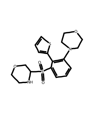 O=S(=O)(c1cccc(N2CCOCC2)c1-c1cccs1)C1COCCN1